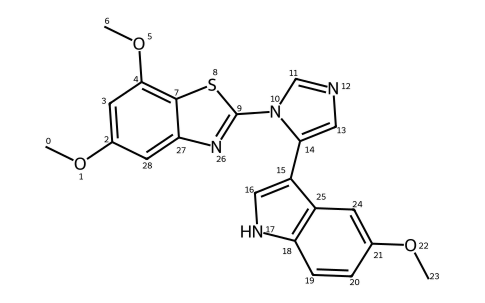 COc1cc(OC)c2sc(-n3cncc3-c3c[nH]c4ccc(OC)cc34)nc2c1